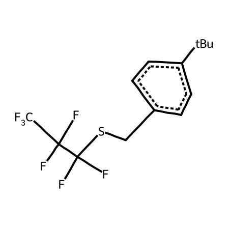 CC(C)(C)c1ccc(CSC(F)(F)C(F)(F)C(F)(F)F)cc1